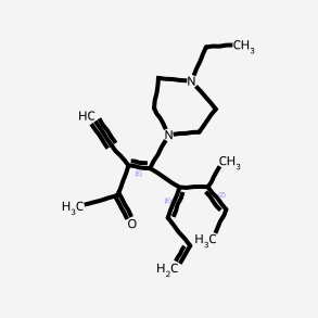 C#C/C(C(C)=O)=C(C(=C/C=C)/C(C)=C\C)\N1CCN(CC)CC1